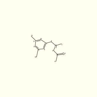 CC(=O)CN(C)Cc1cc(C)cc(C)c1